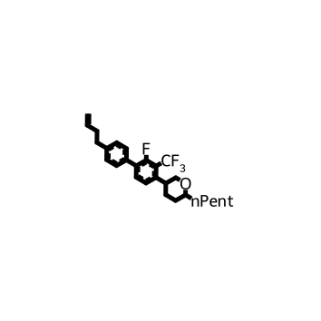 C=CCCc1ccc(-c2ccc(C3CCC(CCCCC)OC3)c(C(F)(F)F)c2F)cc1